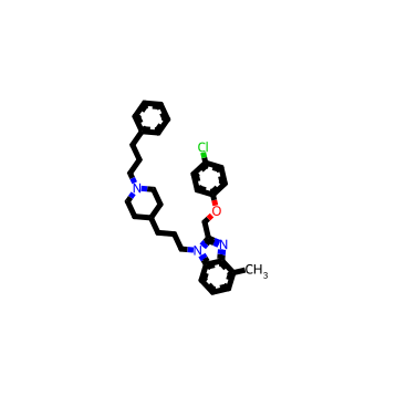 Cc1cccc2c1nc(COc1ccc(Cl)cc1)n2CCCC1CCN(CCCc2ccccc2)CC1